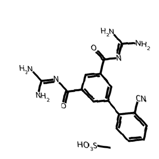 CS(=O)(=O)O.N#Cc1ccccc1-c1cc(C(=O)N=C(N)N)cc(C(=O)N=C(N)N)c1